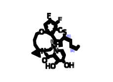 C=C1/C(=C\C=C/C)SCc2c(F)c(F)cc3c2[C@@H]1N1CN(C(=O)C2=C(O)C(O)C=CN21)C1(CCCO3)CC1